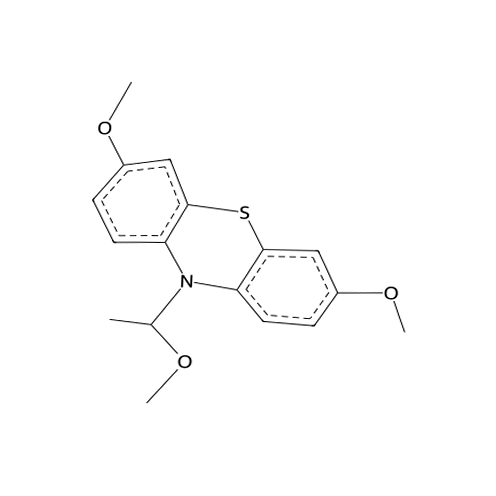 COc1ccc2c(c1)Sc1cc(OC)ccc1N2C(C)OC